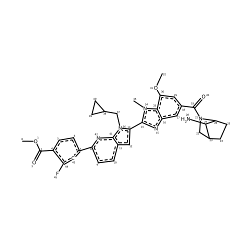 COC(=O)c1ccc(-c2ccc3cc(-c4nc5cc(C(=O)N6CC7CCC6C7N)cc(OC)c5n4C)n(CC4CC4)c3n2)cc1F